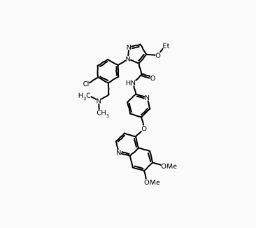 CCOc1cnn(-c2ccc(Cl)c(CN(C)C)c2)c1C(=O)Nc1ccc(Oc2ccnc3cc(OC)c(OC)cc23)cn1